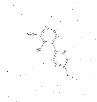 COc1cccc(-c2ccc(Cl)cc2)c1C#N